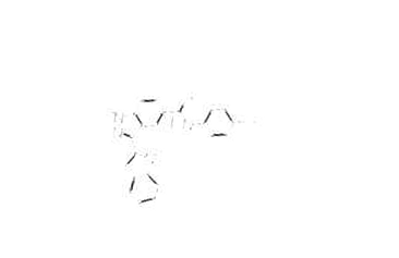 COc1ccc(NC(=O)c2ccc3c(c2)c(-c2cc4ccccc4n2C)nn3C)cc1